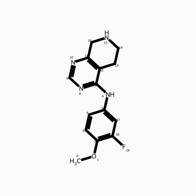 COc1ccc(Nc2ncnc3c2CCNC3)cc1F